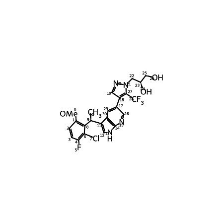 COc1ccc(F)c(Cl)c1[C@@H](C)c1c[nH]c2ncc(-c3cnn(C[C@H](O)CO)c3C(F)(F)F)cc12